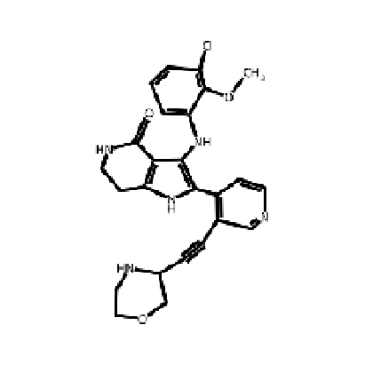 COc1c(Cl)cccc1Nc1c(-c2ccncc2C#CC2COCCN2)[nH]c2c1C(=O)NCC2